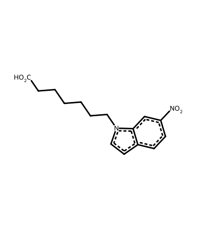 O=C(O)CCCCCCn1ccc2ccc([N+](=O)[O-])cc21